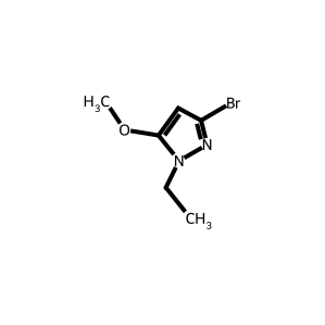 CCn1nc(Br)cc1OC